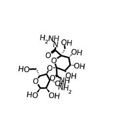 NNC(=O)[C@@]1(O[C@H]2[C@H](O)[C@@H](O)[C@@H](O)O[C@@H]2CO)O[C@@](CO)(C(=O)NN)[C@H](O)[C@H](O)[C@H]1O